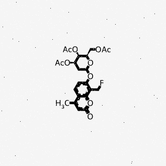 CC(=O)OC[C@H]1OC(Oc2ccc3c(C)cc(=O)oc3c2CF)C[C@@H](OC(C)=O)[C@H]1OC(C)=O